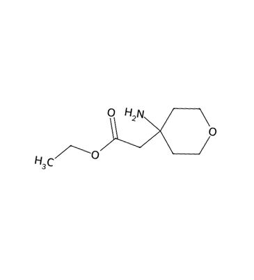 CCOC(=O)CC1(N)CCOCC1